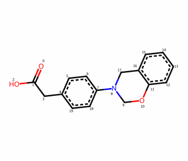 O=C(O)Cc1ccc(N2COc3ccccc3C2)cc1